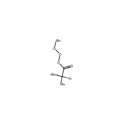 CCCCC(CC)(CCCC)C(=O)OOOC(C)(C)C